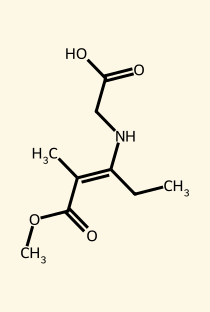 CCC(NCC(=O)O)=C(C)C(=O)OC